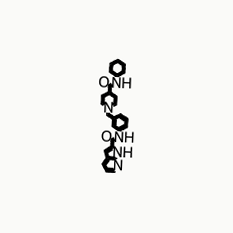 O=C(Nc1cccc(CN2CCC(C(=O)NC3CCCCC3)CC2)c1)c1cc2cccnc2[nH]1